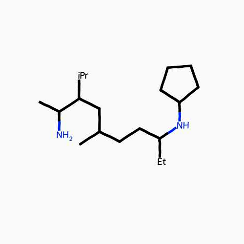 CCC(CCC(C)CC(C(C)C)C(C)N)NC1CCCC1